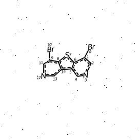 Brc1cncc2c1sc1c(Br)cncc12